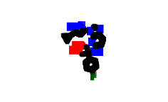 OCC(CO)(Nc1ccc2ncn(-c3cc(C4CC4)[nH]n3)c2n1)c1ccc(F)cc1